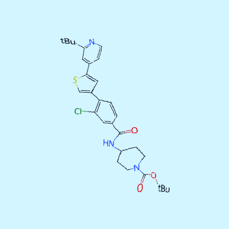 CC(C)(C)OC(=O)N1CCC(NC(=O)c2ccc(-c3csc(-c4ccnc(C(C)(C)C)c4)c3)c(Cl)c2)CC1